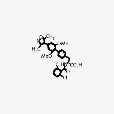 COc1cc(-c2c(C)noc2C)cc(OC)c1-c1ccc(C[C@H](NC(=O)c2c(Cl)cccc2Cl)C(=O)O)cc1